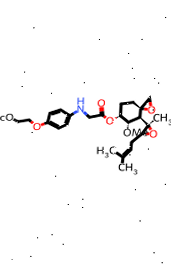 CO[C@@H]1[C@H](OC(=O)CNc2ccc(OCCOC(C)=O)cc2)CC[C@]2(CO2)[C@H]1[C@@]1(C)OC1CC=C(C)C